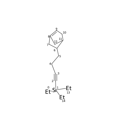 CC[Si](C#CCCC1CC2=CCC1C2)(CC)CC